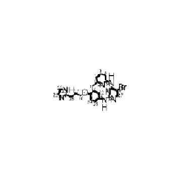 Cc1cccc(Nc2nc(Nc3ccc(OCCCc4ncc[nH]4)cc3)ncc2Br)n1